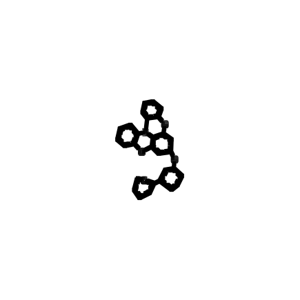 c1ccc(-c2cccc(Oc3cc4c5c(c3)Oc3ccccc3B5c3ccccc3O4)c2)cc1